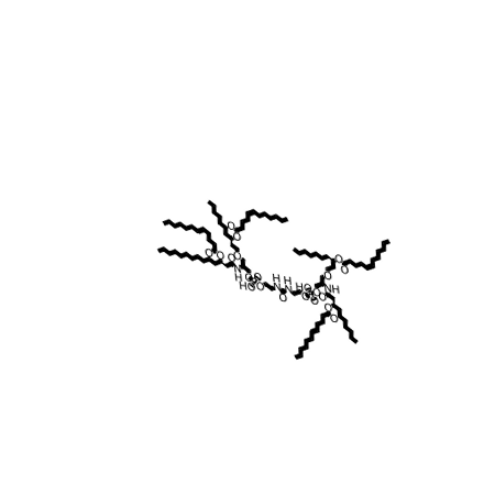 CCCCCC/C=C\CCCC(=O)O[C@H](CCCCCCC)CCOCC(COP(=O)(O)OCCNC(=O)NCCOP(=O)(O)OCC(COCC[C@@H](CCCCCCC)OC(=O)CCC/C=C\CCCCCC)NC(=O)C[C@@H](CCCCCCCCCCC)OC(=O)CCC/C=C/CCCCCC)NC(=O)C[C@@H](CCCCCCC)OC(=O)CCC/C=C/CCCCCC